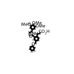 COc1cc(C(CC(C)C)NC(=O)c2cc(COc3ccccc3)ccc2CCC(=O)O)cc(OC)c1OC